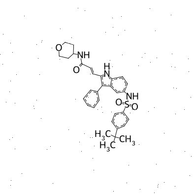 CC(C)(C)c1ccc(S(=O)(=O)Nc2ccc3[nH]c(C=CC(=O)NC4CCOCC4)c(-c4ccccc4)c3c2)cc1